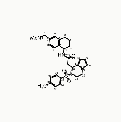 CNCc1ccc2c(c1)CCCC2NC(=O)CC1c2cccn2CCN1S(=O)(=O)c1ccc(C)cc1